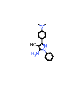 CN(C)c1ccc(-c2nn(-c3ccccc3)c(N)c2C#N)cc1